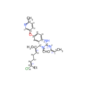 C/C=C\N=C(\Nc1ccc(Oc2ccc(C)nc2)cc1)N(C=O)C/C(C)=C/CC/C=C(/Cl)CC